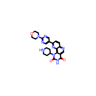 O=c1[nH]c(=O)n(C2CCNCC2)c2c1cnc1ccc(-c3cnc(N4CCOCC4)nc3)nc12